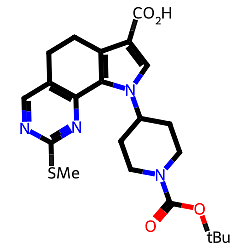 CSc1ncc2c(n1)-c1c(c(C(=O)O)cn1C1CCN(C(=O)OC(C)(C)C)CC1)CC2